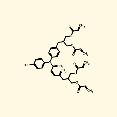 C=CC(=O)OCC(COC(=O)C=C)CC(=C)/C=C\C(=C)N(c1ccc(C)cc1)c1ccc(CC(COC(=O)C=C)COC(=O)C=C)cc1